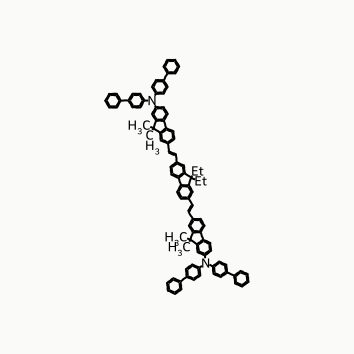 CCC1(CC)c2cc(/C=C/c3ccc4c(c3)C(C)(C)c3cc(N(c5ccc(-c6ccccc6)cc5)c5ccc(-c6ccccc6)cc5)ccc3-4)ccc2-c2ccc(/C=C/c3ccc4c(c3)C(C)(C)c3cc(N(c5ccc(-c6ccccc6)cc5)c5ccc(-c6ccccc6)cc5)ccc3-4)cc21